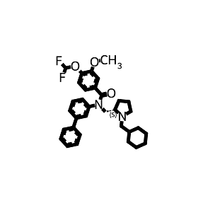 COc1cc(C(=O)N(C[C@@H]2CCCN2CC2CCCCC2)c2cccc(-c3ccccc3)c2)ccc1OC(F)F